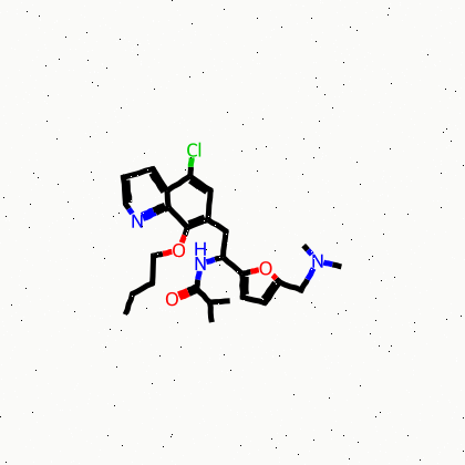 CCCCOc1c(CC(NC(=O)C(C)C)c2ccc(CN(C)C)o2)cc(Cl)c2cccnc12